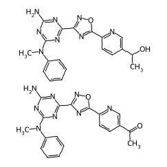 CC(=O)c1ccc(-c2nc(-c3nc(N)nc(N(C)c4ccccc4)n3)no2)nc1.CC(O)c1ccc(-c2nc(-c3nc(N)nc(N(C)c4ccccc4)n3)no2)nc1